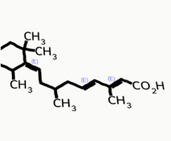 CC(/C=C/CC(C)C/C=C1\C(C)CCCC1(C)C)=C\C(=O)O